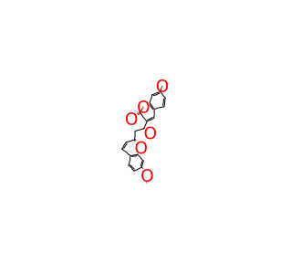 COc1ccc(/C=C\C(=O)CC(=O)c2cc3ccc(OC)cc3oc2=O)cc1